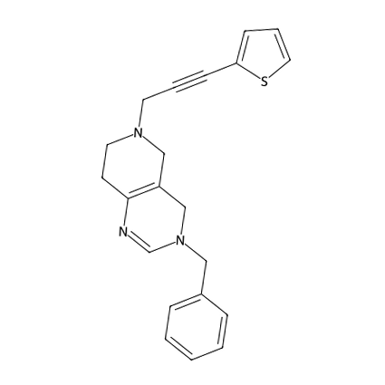 C(#Cc1cccs1)CN1CCC2=C(CN(Cc3ccccc3)C=N2)C1